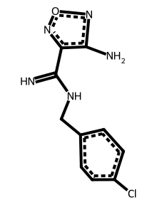 N=C(NCc1ccc(Cl)cc1)c1nonc1N